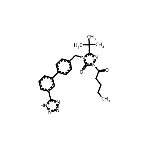 CCCCC(=O)n1nc(C(C)(C)C)n(Cc2ccc(-c3cccc(-c4nnn[nH]4)c3)cc2)c1=O